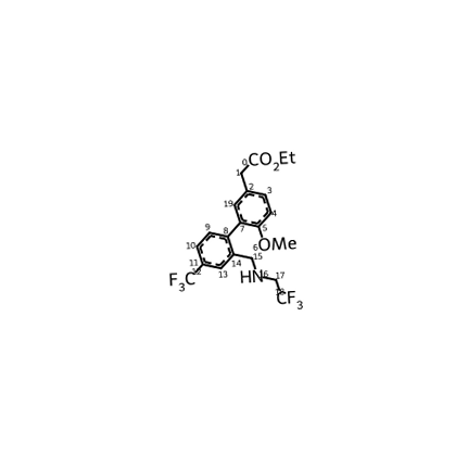 CCOC(=O)Cc1ccc(OC)c(-c2ccc(C(F)(F)F)cc2CNCC(F)(F)F)c1